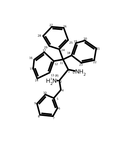 NC([C@H](N)Cc1ccccc1)C(c1ccccc1)(c1ccccc1)c1ccccc1